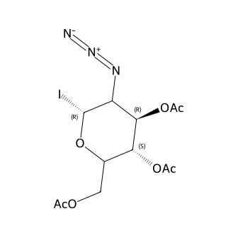 CC(=O)OCC1O[C@H](I)C(N=[N+]=[N-])[C@@H](OC(C)=O)[C@@H]1OC(C)=O